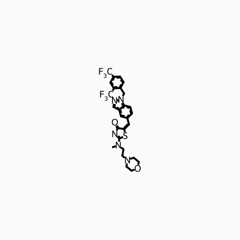 CN(CCN1CCOCC1)C1=NC(=O)C(=Cc2ccc3c(cnn3Cc3ccc(C(F)(F)F)cc3C(F)(F)F)c2)S1